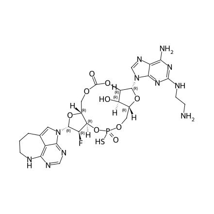 NCCNc1nc(N)c2ncn([C@@H]3O[C@@H]4COP(=O)(S)O[C@H]5[C@@H](F)[C@H](n6cc7c8c(ncnc86)NCCC7)O[C@@H]5COC(=O)O[C@@H]3[C@@H]4O)c2n1